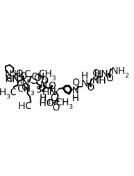 C#CCCCON(C(=O)[C@@H](NC(=O)[C@H]1CCCCN1C)[C@@H](C)CC)[C@H](C[C@@H](OC(C)=O)c1nc(C(=O)N[C@@H](Cc2ccc(NC(=O)CNC(=O)CNC(=O)CNC(=O)CN)cc2)CC(C)(C)C(=O)O)cs1)C(C)C